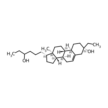 CCC(O)CCC[C@H]1CC[C@H]2[C@@H]3CC=C4C[C@](O)(CC)CC[C@@H]4[C@H]3CC[C@]12C